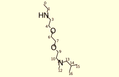 CCNCCOCCOCCN(C)CC(C)C